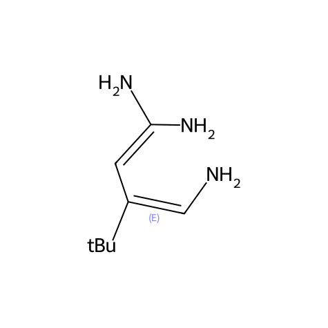 CC(C)(C)/C(C=C(N)N)=C/N